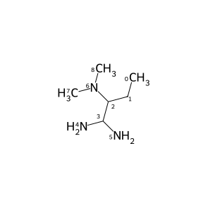 CCC(C(N)N)N(C)C